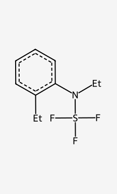 CCc1ccccc1N(CC)S(F)(F)F